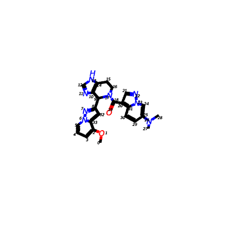 COc1cccn2nc(C3c4nc[nH]c4CCN3C(=O)c3cnn4cc(N(C)C)ccc34)cc12